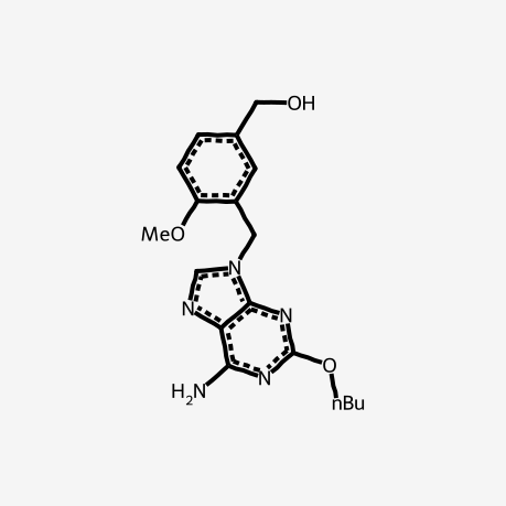 CCCCOc1nc(N)c2ncn(Cc3cc(CO)ccc3OC)c2n1